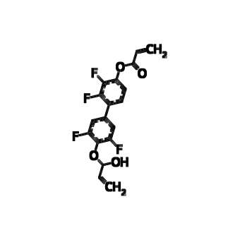 C=CC(=O)Oc1ccc(-c2cc(F)c(OC(O)C=C)c(F)c2)c(F)c1F